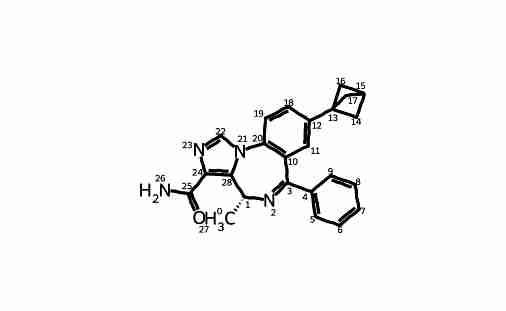 C[C@H]1N=C(c2ccccc2)c2cc(C34CC(C3)C4)ccc2-n2cnc(C(N)=O)c21